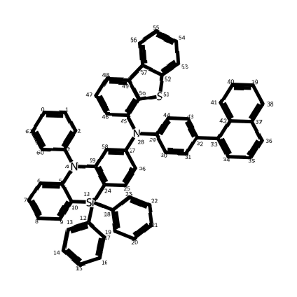 c1ccc(N2c3ccccc3[Si](c3ccccc3)(c3ccccc3)c3ccc(N(c4ccc(-c5cccc6ccccc56)cc4)c4cccc5c4sc4ccccc45)cc32)cc1